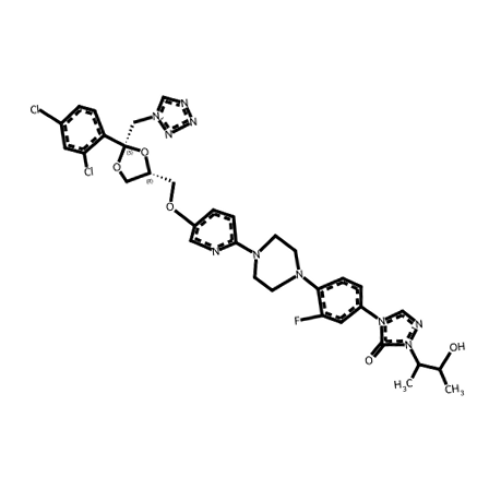 CC(O)C(C)n1ncn(-c2ccc(N3CCN(c4ccc(OC[C@@H]5CO[C@@](Cn6cnnn6)(c6ccc(Cl)cc6Cl)O5)cn4)CC3)c(F)c2)c1=O